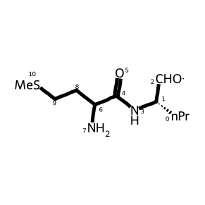 CCC[C@@H]([C]=O)NC(=O)C(N)CCSC